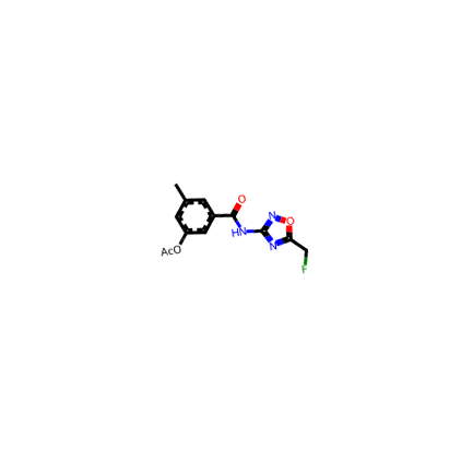 CC(=O)Oc1cc(C)cc(C(=O)Nc2noc(CF)n2)c1